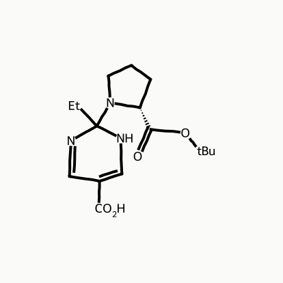 CCC1(N2CCC[C@@H]2C(=O)OC(C)(C)C)N=CC(C(=O)O)=CN1